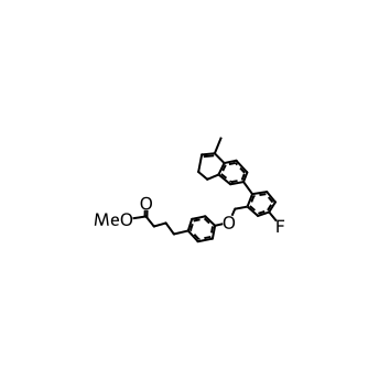 COC(=O)CCCc1ccc(OCc2cc(F)ccc2-c2ccc3c(c2)CCC=C3C)cc1